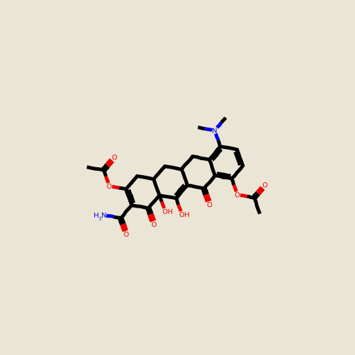 CC(=O)OC1=C(C(N)=O)C(=O)C2(O)C(O)=C3C(=O)c4c(OC(C)=O)ccc(N(C)C)c4CC3CC2C1